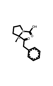 C[C@@]1(C(=O)Cc2ccccc2)CCCN1C(=O)O